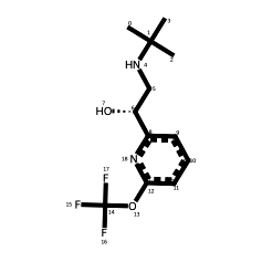 CC(C)(C)NC[C@@H](O)c1cccc(OC(F)(F)F)n1